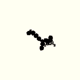 CC1(C)c2cc(C(CCc3ccc(-c4ccc(-c5ccc6sc7ccccc7c6c5)cc4)cc3)c3ccc(-c4ccccc4)cc3)ccc2-c2c1ccc1ccccc21